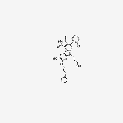 O=C1NC(=O)c2c1c(-c1ccccc1Cl)cc1c2c2cc(O)c(OCCCN3CCCC3)cc2n1CCCO